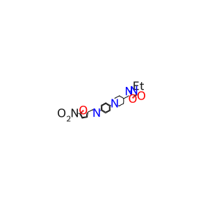 CCn1nc(C2CCN(c3ccc(N=Cc4ccc([N+](=O)[O-])o4)cc3)CC2)oc1=O